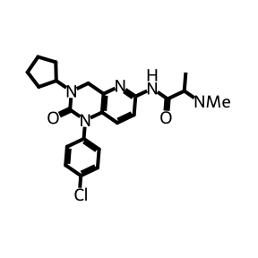 CNC(C)C(=O)Nc1ccc2c(n1)CN(C1CCCC1)C(=O)N2c1ccc(Cl)cc1